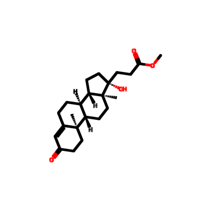 COC(=O)CC[C@]1(O)CC[C@H]2[C@@H]3CCC4=CC(=O)CC[C@]4(C)[C@H]3CC[C@@]21C